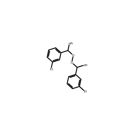 CCCC(OOC(CCC)c1cccc(CC)c1)c1cccc(CC)c1